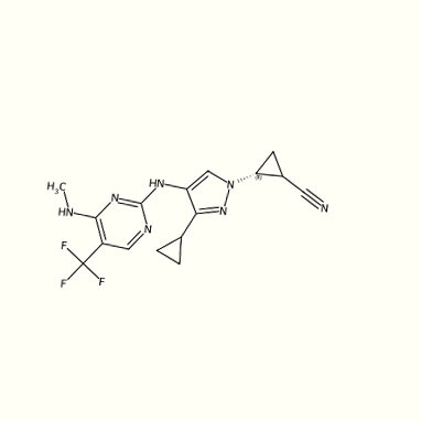 CNc1nc(Nc2cn([C@@H]3CC3C#N)nc2C2CC2)ncc1C(F)(F)F